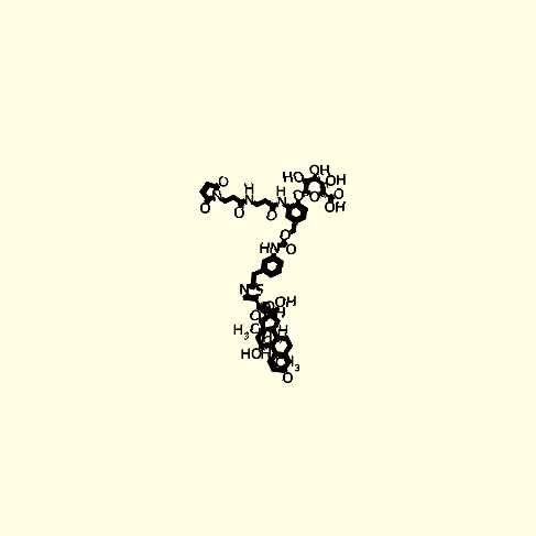 C[C@]12C=CC(=O)C=C1CC[C@@H]1[C@@H]2[C@@H](O)C[C@@]2(C)[C@H]1C[C@H]1O[C@H](c3cnc(Cc4cccc(NC(=O)OCc5ccc(O[C@@H]6O[C@H](C(=O)O)[C@@H](O)[C@H](O)[C@H]6O)c(NC(=O)CCNC(=O)CCN6C(=O)C=CC6=O)c5)c4)s3)O[C@]12C(=O)CO